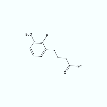 CCCC(=O)CCCc1cccc(OCC(C)C)c1F